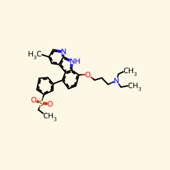 CCN(CC)CCCOc1ccc(-c2cccc(S(=O)(=O)CC)c2)c2c1[nH]c1ncc(C)cc12